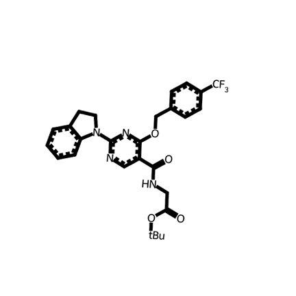 CC(C)(C)OC(=O)CNC(=O)c1cnc(N2CCc3ccccc32)nc1OCc1ccc(C(F)(F)F)cc1